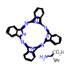 CC(C)[C@H](N)C(=O)O.c1ccc2c(c1)-c1nc-2nc2[nH]c(nc3nc(nc4[nH]c(n1)c1ccccc41)-c1ccccc1-3)c1ccccc21